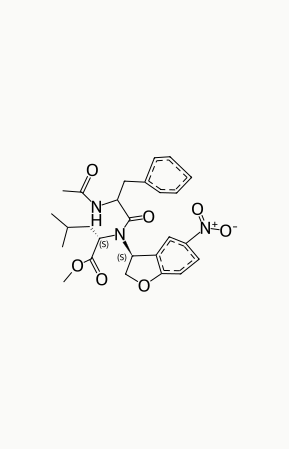 COC(=O)[C@H](CC(C)C)N(C(=O)C(Cc1ccccc1)NC(C)=O)[C@@H]1COc2ccc([N+](=O)[O-])cc21